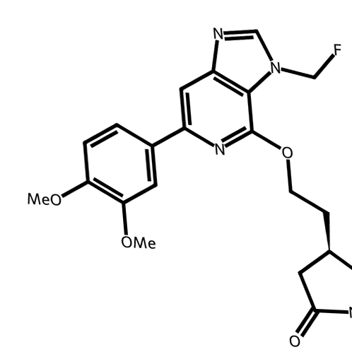 COc1ccc(-c2cc3ncn(CF)c3c(OCC[C@H]3CNC(=O)C3)n2)cc1OC